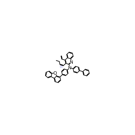 C=Cc1c(/C=C\CC)c(N(c2ccc(-c3ccccc3)cc2)c2ccc(-c3cccc4c3oc3ccccc34)cc2)nc2ccccc12